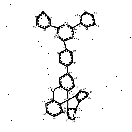 c1ccc(-c2nc(-c3ccc(-c4ccc5c(c4)Oc4ccccc4C54c5ccccc5-c5ccccc54)cc3)nc(-c3ccccn3)n2)cc1